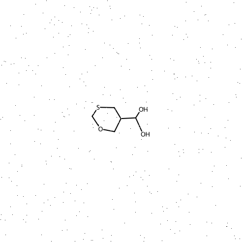 OC(O)C1COCSC1